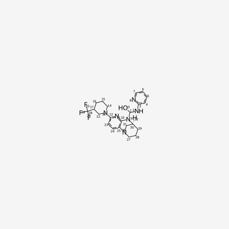 OC(Nc1ccccn1)N1c2nc(N3CCCC(C(F)(F)F)C3)ccc2N2CCC[C@H]1C2